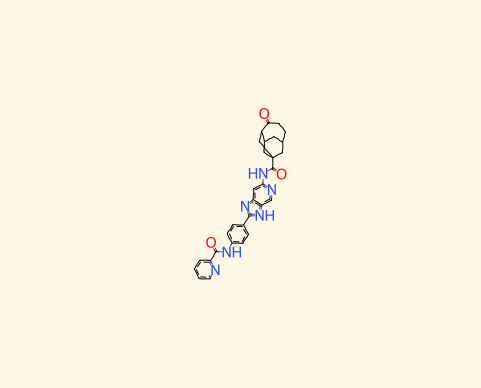 O=C(Nc1ccc(-c2nc3cc(NC(=O)C45CC6CCC(=O)C(C4)C(C6)C5)ncc3[nH]2)cc1)c1ccccn1